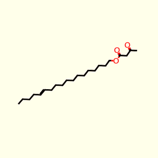 CCCCC=CCCCCCCCCCCCCOC(=O)CC(C)=O